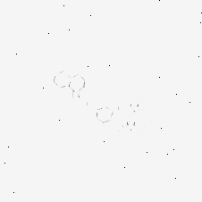 COc1ccc(OCc2ccc3ccccc3n2)cc1OC